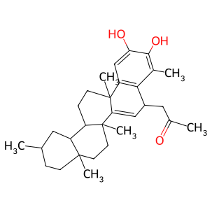 CC(=O)CC1C=C2C(C)(CCC3C4CC(C)CCC4(C)CCC23C)c2cc(O)c(O)c(C)c21